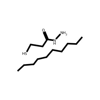 CCCCCCCCCC.NNC(=O)CCS